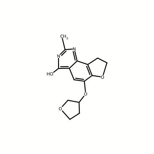 Cc1nc(O)c2cc(OC3CCOC3)c3c(c2n1)CCO3